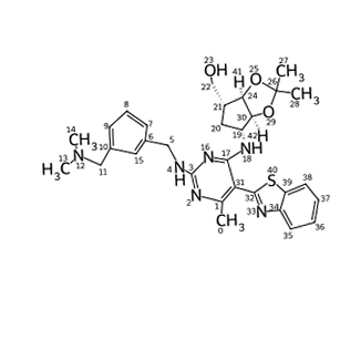 Cc1nc(NCc2cccc(CN(C)C)c2)nc(N[C@@H]2C[C@H](CO)[C@H]3OC(C)(C)O[C@H]32)c1-c1nc2ccccc2s1